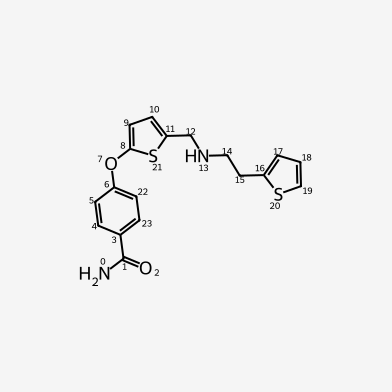 NC(=O)c1ccc(Oc2ccc(CNCCc3cccs3)s2)cc1